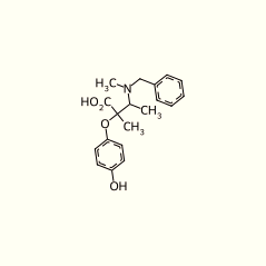 CC(N(C)Cc1ccccc1)C(C)(Oc1ccc(O)cc1)C(=O)O